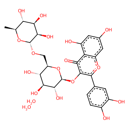 C[C@@H]1O[C@@H](OC[C@H]2O[C@@H](Oc3c(-c4ccc(O)c(O)c4)oc4cc(O)cc(O)c4c3=O)[C@H](O)[C@@H](O)[C@@H]2O)[C@H](O)[C@H](O)[C@H]1O.O.O